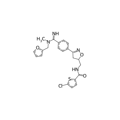 CN(Cc1ccco1)C(=N)c1ccc(C2=NOC(CNC(=O)c3ccc(Cl)s3)C2)cc1